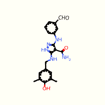 Cc1cc(CNc2[nH]nc(Nc3cccc(C=O)c3)c2C(N)=O)cc(C)c1O